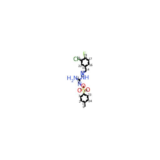 Cc1ccc(S(=O)(=O)ON=C(N)NN=Cc2ccc(F)c(Cl)c2)cc1